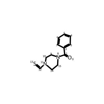 O=C(c1ccccc1)N1CCN([C]=S)CC1